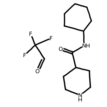 O=C(NC1CCCCC1)C1CCNCC1.O=CC(F)(F)F